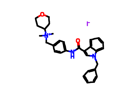 C[N+](C)(Cc1ccc(NC(=O)c2cn(Cc3ccccc3)c3ccccc23)cc1)C1CCOCC1.[I-]